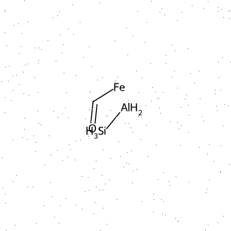 O=[CH][Fe].[AlH2][SiH3]